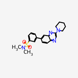 CN(C)S(=O)(=O)c1cccc(-c2ccc3ncc(N4CCCCC4)nc3c2)c1